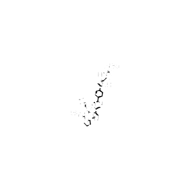 C[C@H](NC(=O)OC(C)(C)C)c1ncc(-c2ccc(-c3cnc(-c4cnc([C@@H]5CCCN5C(=O)OC(C)(C)C)n4COCC[Si](C)(C)C)cn3)cc2)[nH]1